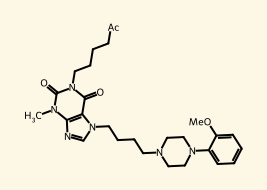 COc1ccccc1N1CCN(CCCCn2cnc3c2c(=O)n(CCCCC(C)=O)c(=O)n3C)CC1